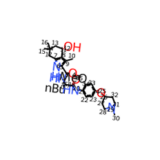 CCCC[C@H](NC(=O)c1[nH]c2c(c1C)C(O)CC(C)(C)C2)C(=O)Nc1ccc(OC2CCN(C)CC2)cc1OC